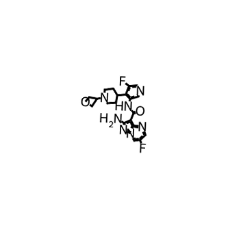 Nc1nn2cc(F)cnc2c1C(=O)Nc1cncc(F)c1C1CCN(C2COC2)CC1